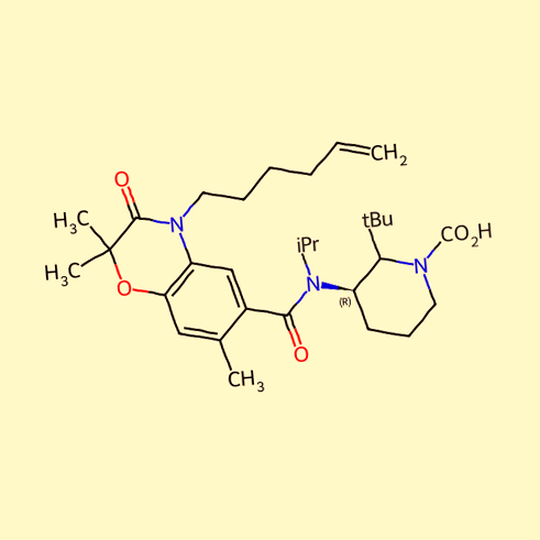 C=CCCCCN1C(=O)C(C)(C)Oc2cc(C)c(C(=O)N(C(C)C)[C@@H]3CCCN(C(=O)O)C3C(C)(C)C)cc21